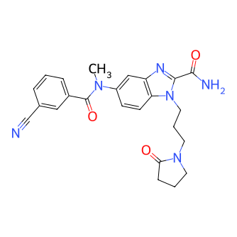 CN(C(=O)c1cccc(C#N)c1)c1ccc2c(c1)nc(C(N)=O)n2CCCN1CCCC1=O